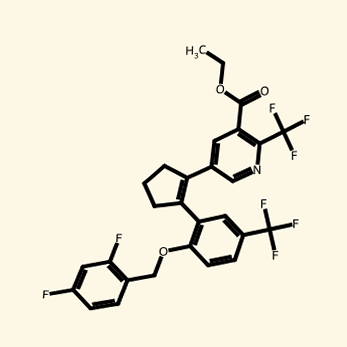 CCOC(=O)c1cc(C2=C(c3cc(C(F)(F)F)ccc3OCc3ccc(F)cc3F)CCC2)cnc1C(F)(F)F